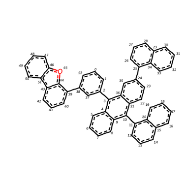 c1cc(-c2c3ccccc3c(-c3cccc4ccccc34)c3ccc(-c4cccc5ccccc45)cc23)cc(-c2cccc3c2oc2ccccc23)c1